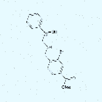 COC(=O)c1ccc(CNC[C@H](O)c2ccccc2)c(Br)c1